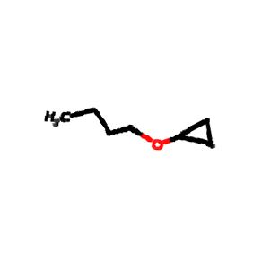 CCCCOC1[CH]C1